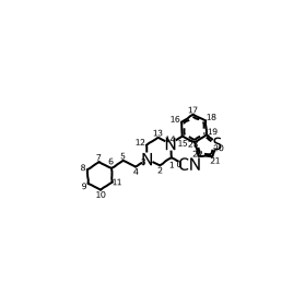 N#CC1CN(CCC2CCCCC2)CCN1c1cccc2sccc12